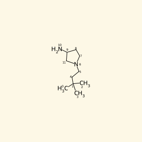 CC(C)(C)CCN1CCC(N)C1